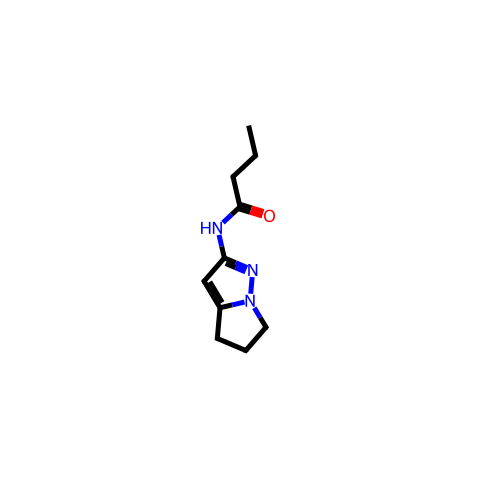 CCCC(=O)Nc1cc2n(n1)CCC2